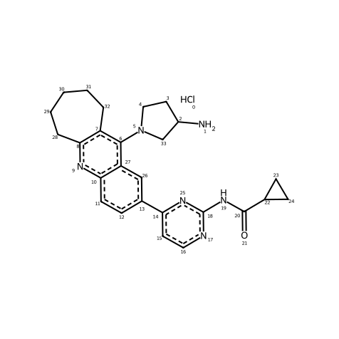 Cl.NC1CCN(c2c3c(nc4ccc(-c5ccnc(NC(=O)C6CC6)n5)cc24)CCCCC3)C1